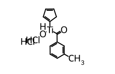 Cc1cccc([C](=O)[Ti]([OH])[C]2=CC=CC2)c1.Cl.Cl